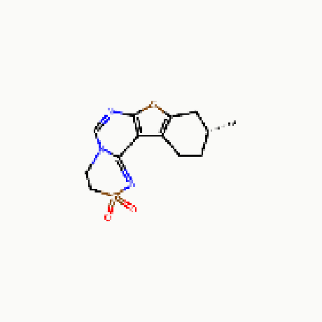 C[C@@H]1CCc2c(sc3c2C2=NS(=O)(=O)CCN2C=N3)C1